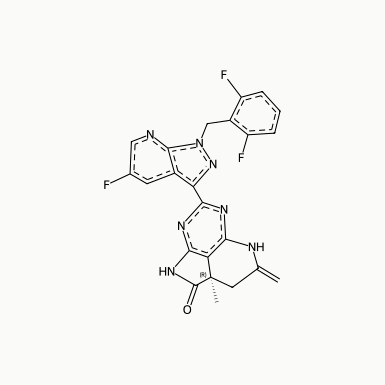 C=C1C[C@@]2(C)C(=O)Nc3nc(-c4nn(Cc5c(F)cccc5F)c5ncc(F)cc45)nc(c32)N1